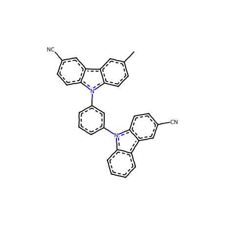 Cc1ccc2c(c1)c1cc(C#N)ccc1n2-c1cccc(-n2c3ccccc3c3cc(C#N)ccc32)c1